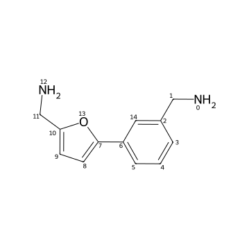 NCc1cccc(-c2ccc(CN)o2)c1